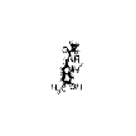 Cc1cc2cc(CNC(=O)C3(C)CC3)[nH]c2cc1O